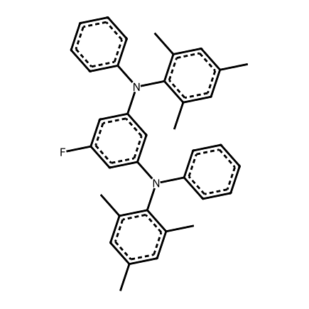 Cc1cc(C)c(N(c2ccccc2)c2cc(F)cc(N(c3ccccc3)c3c(C)cc(C)cc3C)c2)c(C)c1